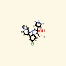 CCC(O)(Cn1c2c(c3cc(Cl)ccc31)CCN(C)C2)c1ccncc1